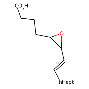 CCCCCCC/C=C/C1OC1CCCC(=O)O